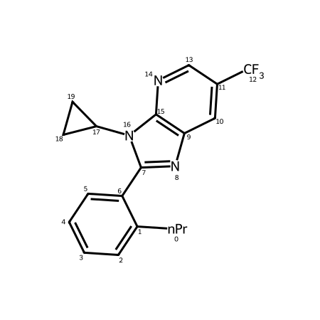 CCCc1ccccc1-c1nc2cc(C(F)(F)F)cnc2n1C1CC1